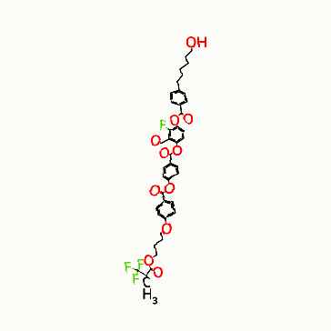 CC(C(=O)OCCCCOc1ccc(C(=O)Oc2ccc(C(=O)Oc3ccc(OC(=O)c4ccc(CCCCCCO)cc4)c(F)c3C=O)cc2)cc1)C(F)(F)F